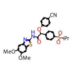 COc1cc2nc(NC(=O)C(Oc3ccc(C#N)cc3)c3ccc(S(=O)(=O)C(C)C)cc3)sc2cc1OC